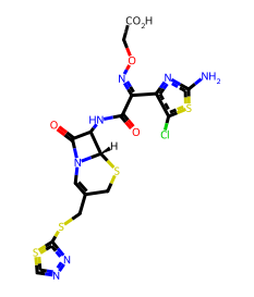 Nc1nc(C(=NOCC(=O)O)C(=O)NC2C(=O)N3C=C(CSc4nncs4)CS[C@@H]23)c(Cl)s1